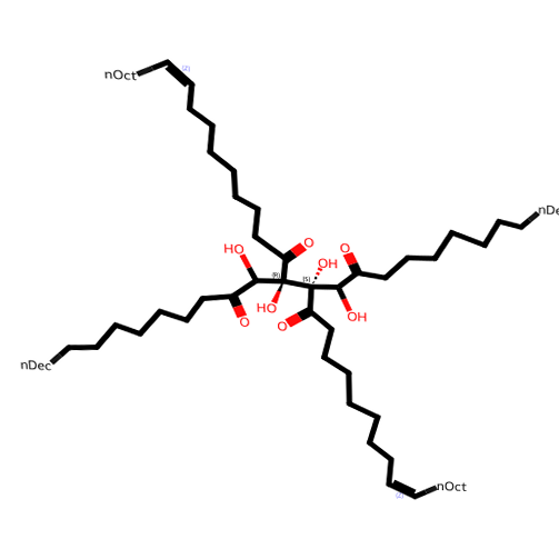 CCCCCCCC/C=C\CCCCCCCC(=O)[C@@](O)(C(O)C(=O)CCCCCCCCCCCCCCCCC)[C@](O)(C(=O)CCCCCCC/C=C\CCCCCCCC)C(O)C(=O)CCCCCCCCCCCCCCCCC